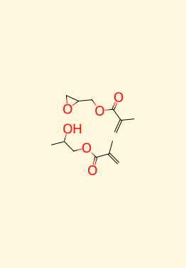 C=C(C)C(=O)OCC(C)O.C=C(C)C(=O)OCC1CO1